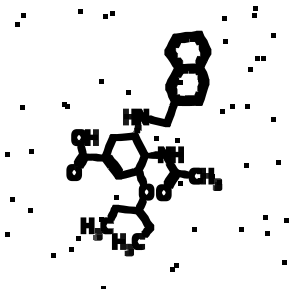 CCC(CC)OC1C=C(C(=O)O)C[C@H](NCc2ccc3ccccc3c2)[C@H]1NC(C)=O